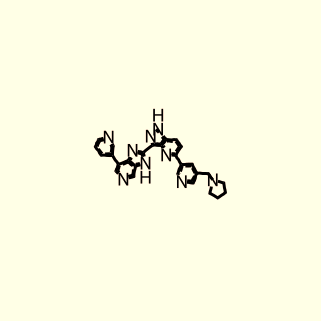 c1cncc(-c2cncc3[nH]c(-c4n[nH]c5ccc(-c6cncc(CN7CCCC7)c6)nc45)nc23)c1